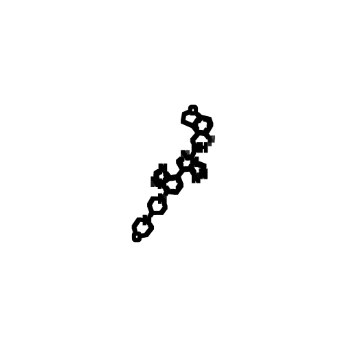 Fc1ccc2c(c1CNc1ncc(-c3ccc(N4CCC(N5CCOCC5)CC4)n4ncnc34)c3nncn13)CCO2